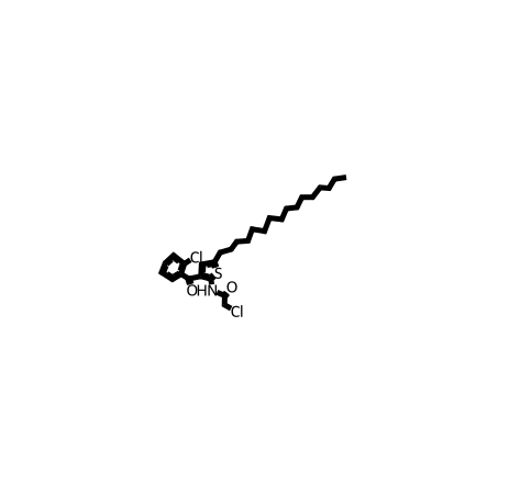 CCCCCCCCCCCCCCCCc1cc(C(=O)c2ccccc2Cl)c(NC(=O)CCl)s1